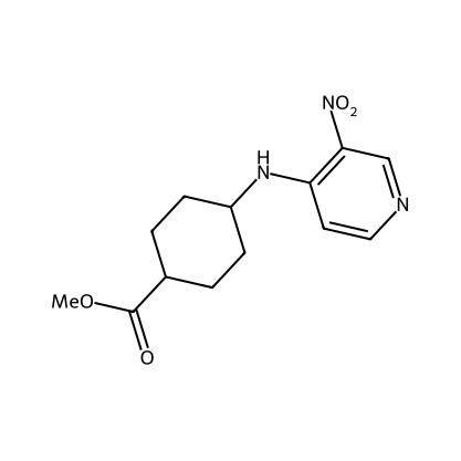 COC(=O)C1CCC(Nc2ccncc2[N+](=O)[O-])CC1